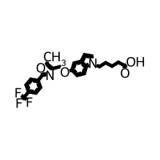 Cc1oc(-c2ccc(C(F)(F)F)cc2)nc1COc1ccc2c(ccn2CCCCC(=O)O)c1